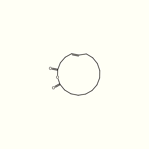 O=C1CC/C=C/CCCCCCCCCCCC(=O)O1